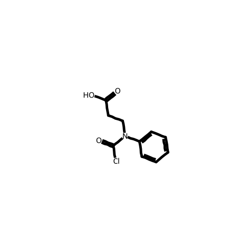 O=C(O)CCN(C(=O)Cl)c1ccccc1